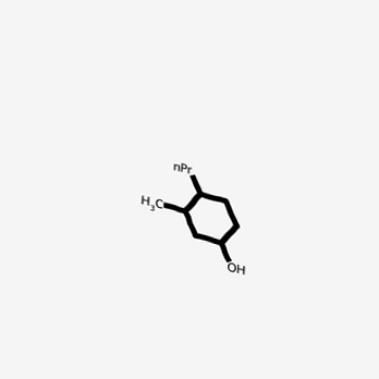 CCCC1CCC(O)CC1C